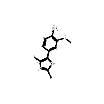 COc1cc(-c2oc(C)nc2C)ccc1N